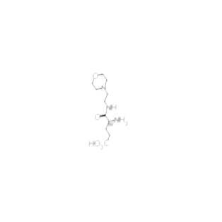 N[C@@H](CCC(=O)O)C(=O)NCCN1CCOCC1